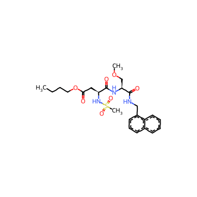 CCCCOC(=O)C[C@H](NS(C)(=O)=O)C(=O)N[C@@H](COC)C(=O)NCc1cccc2ccccc12